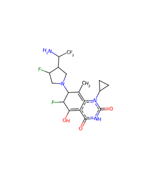 CC1=c2c(c(=O)[nH]c(=O)n2C2CC2)=C(O)C(F)C1N1CC(F)C(C(N)C(F)(F)F)C1